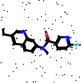 CCc1cnc2cc(N(C)C(=O)c3ccc(F)nc3)ccc2c1